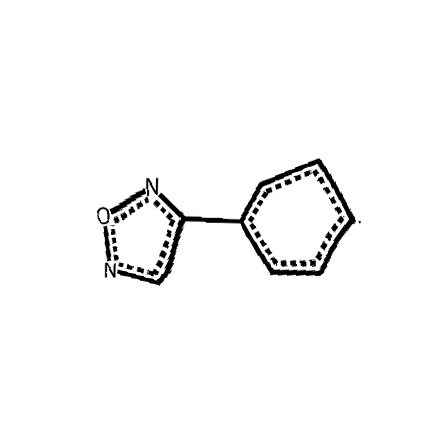 [c]1ccc(-c2cnon2)cc1